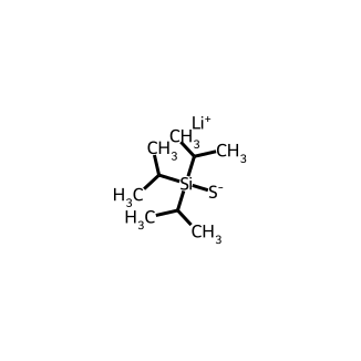 CC(C)[Si]([S-])(C(C)C)C(C)C.[Li+]